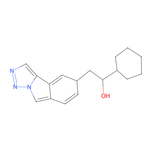 OC(CC1C=Cc2cn3nncc3c2=C1)C1CCCCC1